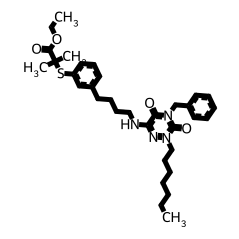 CCCCCCCn1nc(NCCCCc2cccc(SC(C)(C)C(=O)OCC)c2)c(=O)n(Cc2ccccc2)c1=O